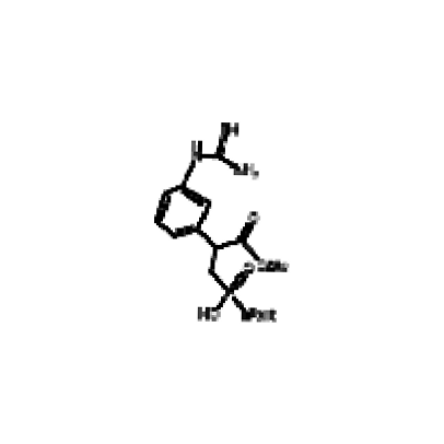 CCCCCP(=O)(O)CC(C(=O)OC)c1cccc(NC(=N)N)c1